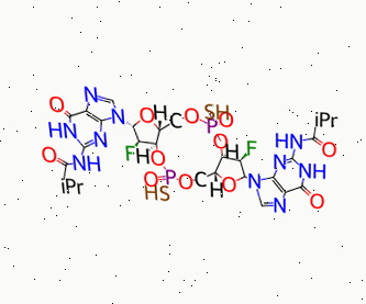 CC(C)C(=O)Nc1nc2c(ncn2[C@@H]2O[C@@H]3CO[P@@](=O)(S)O[C@H]4[C@@H](F)[C@H](n5cnc6c(=O)[nH]c(NC(=O)C(C)C)nc65)O[C@@H]4CO[P@](=O)(S)O[C@H]3[C@H]2F)c(=O)[nH]1